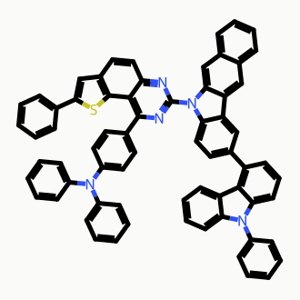 c1ccc(-c2cc3ccc4nc(-n5c6ccc(-c7cccc8c7c7ccccc7n8-c7ccccc7)cc6c6cc7ccccc7cc65)nc(-c5ccc(N(c6ccccc6)c6ccccc6)cc5)c4c3s2)cc1